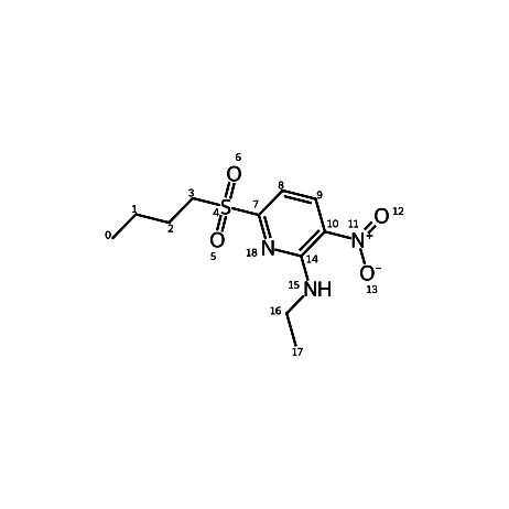 CCCCS(=O)(=O)c1ccc([N+](=O)[O-])c(NCC)n1